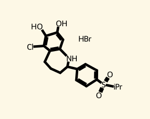 Br.CC(C)S(=O)(=O)c1ccc(C2CCCc3c(cc(O)c(O)c3Cl)N2)cc1